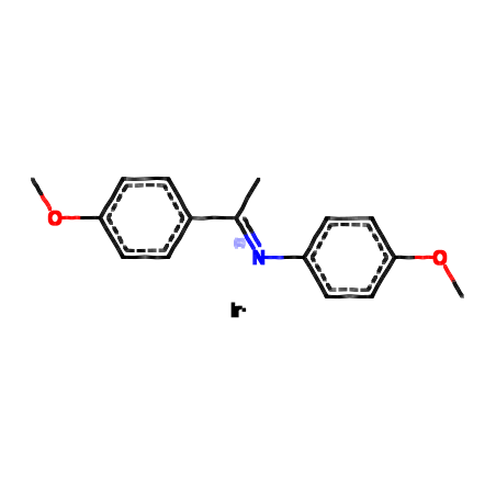 COc1ccc(/N=C(\C)c2ccc(OC)cc2)cc1.[Ir]